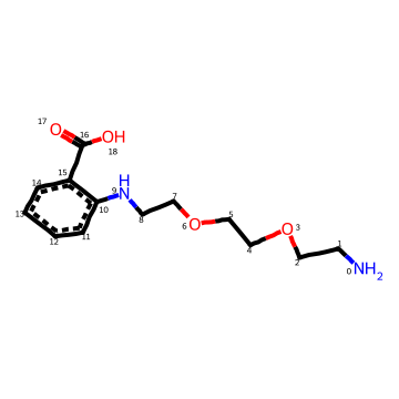 NCCOCCOCCNc1ccccc1C(=O)O